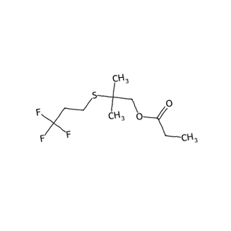 CCC(=O)OCC(C)(C)SCCC(F)(F)F